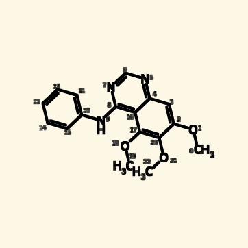 COc1cc2ncnc(Nc3ccccc3)c2c(OC)c1OC